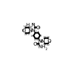 NC(=O)N(C1CCC(N(C(N)=O)N2CCOCC2)CC1)N1CCOCC1